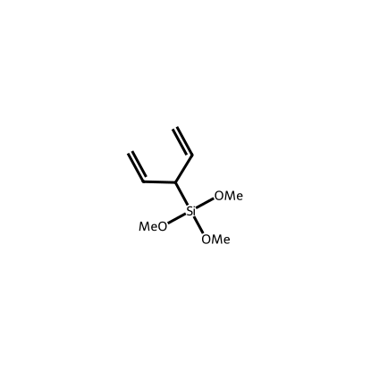 C=CC(C=C)[Si](OC)(OC)OC